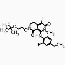 CCc1ccc(Nc2c3c(c(I)c(=O)n2C)CCN(OCCOC(C)(C)C)C3=O)c(F)c1